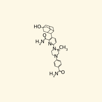 C[C@@H]1CN(c2ccc(C(N)=O)cc2)CCN1c1ccc(C2C3CC4CC2CC(O)(C4)C3)c(C(N)=O)n1